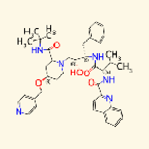 CC(C)[C@H](NC(=O)c1ccc2ccccc2n1)C(=O)N[C@@H](Cc1ccccc1)[C@H](O)CN1CC[C@@H](OCc2ccncc2)CC1C(=O)NC(C)(C)C